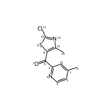 Cc1ccnc(C(=O)c2sc(Cl)nc2C)c1